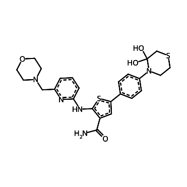 NC(=O)c1cc(-c2ccc(N3CCSCC3(O)O)cc2)sc1Nc1cccc(CN2CCOCC2)n1